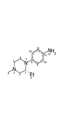 CC[C@@H]1CN(C)CCN1c1ccc(N)cc1